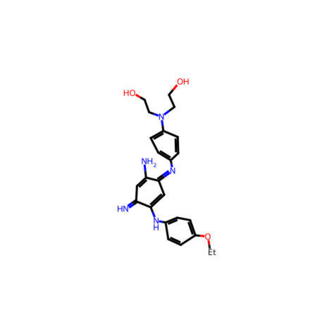 CCOc1ccc(NC2=C/C(=N/c3ccc(N(CCO)CCO)cc3)C(N)=CC2=N)cc1